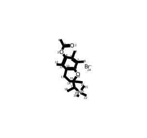 CC(=O)Oc1c(C)c(C)c2c(c1C)CCC(C)(C(C)[N+](C)(C)C)O2.[Br-]